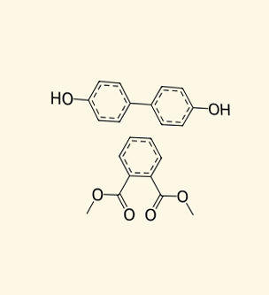 COC(=O)c1ccccc1C(=O)OC.Oc1ccc(-c2ccc(O)cc2)cc1